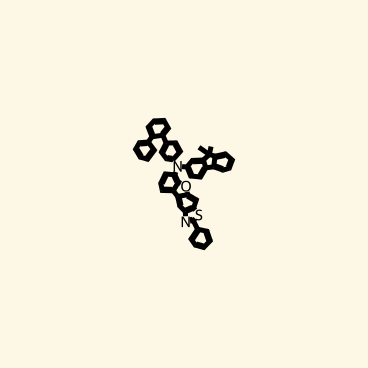 CC1(C)c2ccccc2-c2ccc(N(c3ccc(-c4ccccc4-c4ccccc4)cc3)c3cccc4c3oc3cc5sc(-c6ccccc6)nc5cc34)cc21